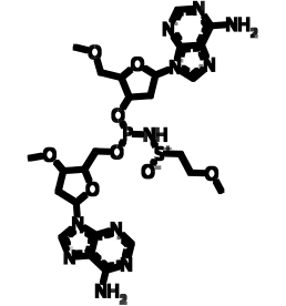 COCC[S+]([O-])NP(OCC1OC(n2cnc3c(N)ncnc32)CC1OC)OC1CC(n2cnc3c(N)ncnc32)OC1COC